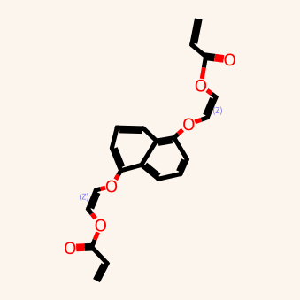 C=CC(=O)O/C=C\Oc1cccc2c(O/C=C\OC(=O)C=C)cccc12